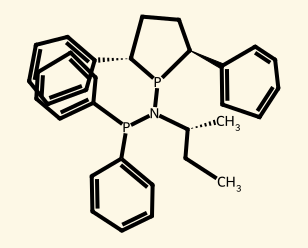 CC[C@@H](C)N(P(c1ccccc1)c1ccccc1)P1[C@H](c2ccccc2)CC[C@H]1c1ccccc1